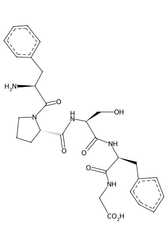 N[C@@H](Cc1ccccc1)C(=O)N1CCC[C@H]1C(=O)N[C@@H](CO)C(=O)N[C@@H](Cc1ccccc1)C(=O)NCC(=O)O